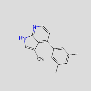 Cc1cc(C)cc(-c2ccnc3[nH]cc(C#N)c23)c1